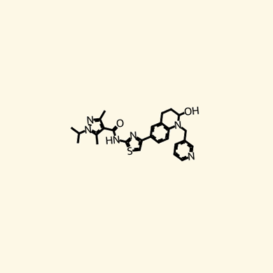 Cc1nn(C(C)C)c(C)c1C(=O)Nc1nc(-c2ccc3c(c2)CCC(O)N3Cc2cccnc2)cs1